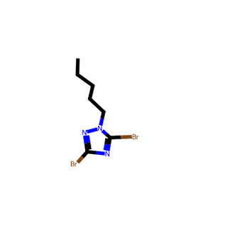 CCCCCn1nc(Br)nc1Br